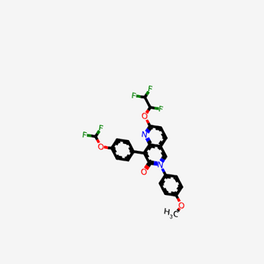 COc1ccc(-n2cc3ccc(OC(F)C(F)F)nc3c(-c3ccc(OC(F)F)cc3)c2=O)cc1